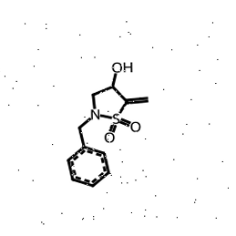 C=C1C(O)CN(Cc2ccccc2)S1(=O)=O